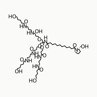 O=C(CCCCO)NCCCNC(=O)CCOCC(COCCC(=O)NCCCNC(=O)CCCCO)(COCCC(O)NCCCNC(=O)CCCCO)NC(=O)CCCCCCCCCCC(=O)N1CCC[C@H]1CO